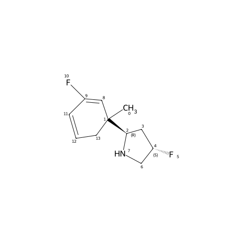 CC1([C@H]2C[C@H](F)CN2)C=C(F)C=CC1